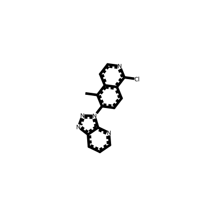 Cc1c(-n2nnc3cccnc32)ccc2c(Cl)nccc12